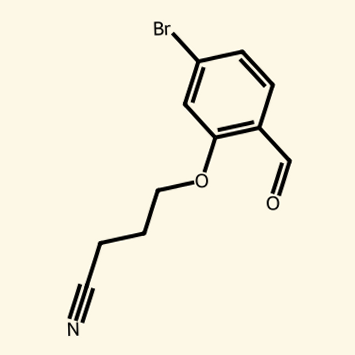 N#CCCCOc1cc(Br)ccc1C=O